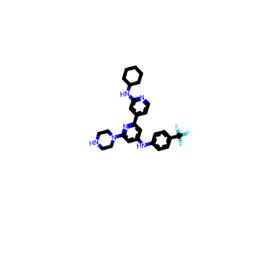 FC(F)(F)c1ccc(Nc2cc(-c3ccnc(NC4CCCCC4)c3)nc(N3CCNCC3)c2)cc1